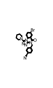 N#Cc1ccc(Cn2c(=O)c3cc(Br)ccc3n3c(N4CCCCC4)nnc23)cc1